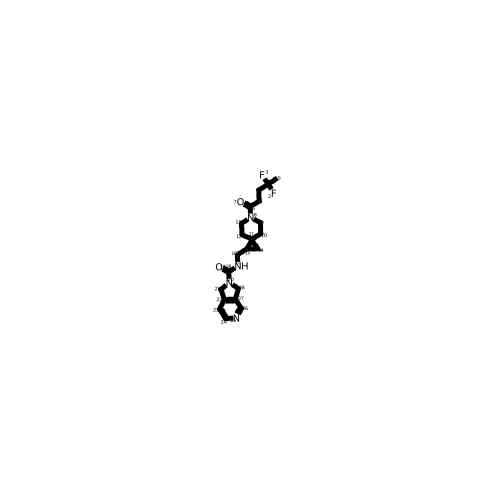 CC(F)(F)CCC(=O)N1CCC2(CC1)CC2CNC(=O)N1Cc2ccncc2C1